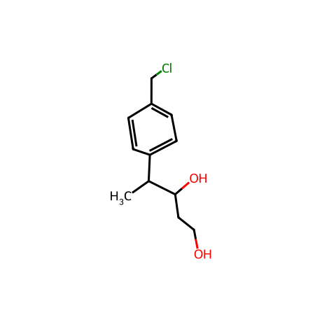 CC(c1ccc(CCl)cc1)C(O)CCO